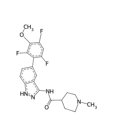 COc1c(F)cc(F)c(-c2ccc3[nH]nc(NC(=O)C4CCN(C)CC4)c3c2)c1F